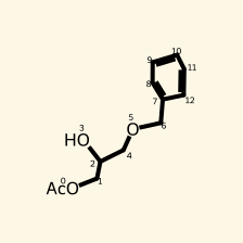 CC(=O)OCC(O)COCc1ccccc1